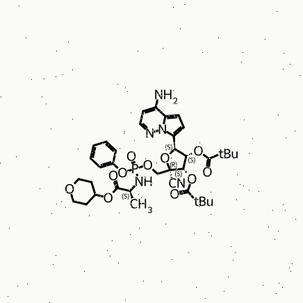 C[C@H](NP(=O)(OC[C@@]1(C#N)O[C@@H](c2ccc3c(N)ccnn23)[C@H](OC(=O)C(C)(C)C)[C@@H]1OC(=O)C(C)(C)C)Oc1ccccc1)C(=O)OC1CCOCC1